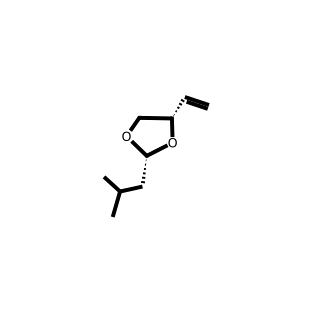 C=C[C@H]1CO[C@@H](CC(C)C)O1